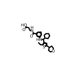 CCc1sc(C2CCOCC2)cc1C(Nc1cccc(C(=O)NCCC(=O)O)c1)C1CCCCC1